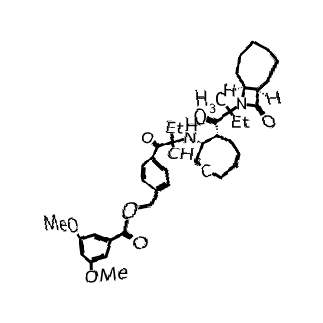 CCC(C)(N[C@H]1CCCCCC[C@H]1C(=O)C(C)(CC)N1C(=O)[C@@H]2CCCCCC[C@@H]21)C(=O)c1ccc(COC(=O)c2cc(OC)cc(OC)c2)cc1